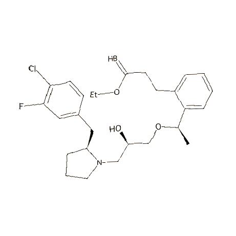 B=C(CCc1ccccc1[C@@H](C)OC[C@H](O)CN1CCC[C@H]1Cc1ccc(Cl)c(F)c1)OCC